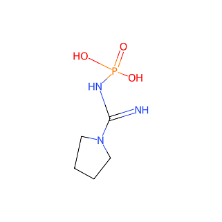 N=C(NP(=O)(O)O)N1CCCC1